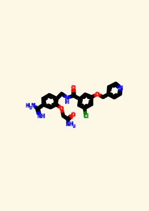 N=C(N)c1ccc(CNC(=O)c2cc(Cl)cc(OCc3ccncc3)c2)c(OCC(N)=O)c1